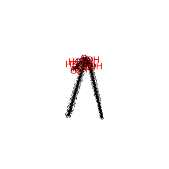 CCCCCCCCCCCCCCCCCCCCCCCCCCCCC(O)COP(=O)(O)OP(=O)(OCC(O)CCCCCCCCCCCCCCCCCCCCCCCCCCCC)OC[C@@H](O)[C@@H](O)[C@H](O)[C@H](O)CO